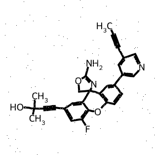 CC#Cc1cncc(-c2ccc3c(c2)C2(COC(N)=N2)c2cc(C#CC(C)(C)O)cc(F)c2O3)c1